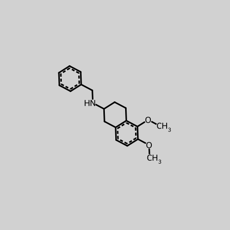 COc1ccc2c(c1OC)CCC(NCc1ccccc1)C2